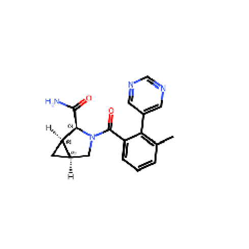 Cc1cccc(C(=O)N2C[C@H]3C[C@H]3[C@H]2C(N)=O)c1-c1cncnc1